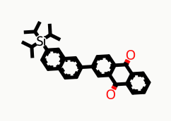 CC(C)[Si](c1ccc2ccc(-c3ccc4c(c3)C(=O)c3ccccc3C4=O)cc2c1)(C(C)C)C(C)C